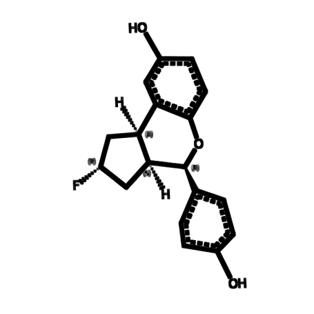 Oc1ccc([C@@H]2Oc3ccc(O)cc3[C@@H]3C[C@@H](F)C[C@@H]32)cc1